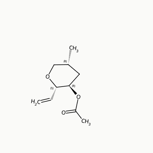 C=C[C@@H]1OC[C@H](C)C[C@H]1OC(C)=O